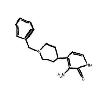 Nc1c(C2CCN(Cc3ccccc3)CC2)cc[nH]c1=O